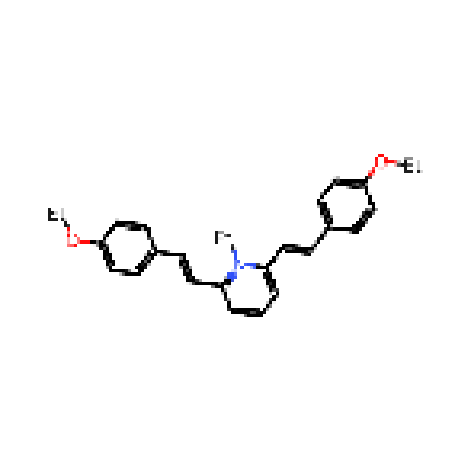 CCOc1ccc(/C=C/c2cccc(/C=C/c3ccc(OCC)cc3)[n+]2CC)cc1